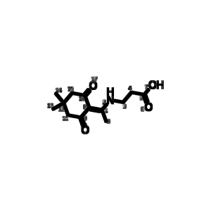 CC(NCCC(=O)O)=C1C(=O)CC(C)(C)CC1=O